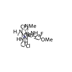 CNCC(C(=O)/N=C(/Nc1cccc(Cl)c1)NC(N)CC(N)c1ccc(OC)c(F)c1)C(N)C(F)(F)F